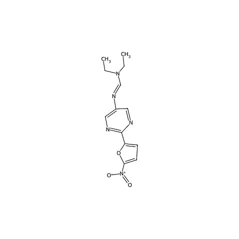 CCN(/C=N/c1cnc(-c2ccc([N+](=O)[O-])o2)nc1)CC